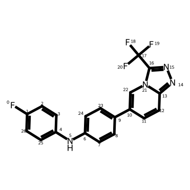 Fc1ccc(Nc2ccc(-c3ccc4nnc(C(F)(F)F)n4c3)cc2)cc1